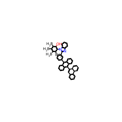 Bc1c(B)c(B)c(-n2c(-c3cccc(-c4c5ccccc5c(C5=Cc6ccccc6C6C=CC=CC56)c5ccccc45)c3)nc3ccccc32)c(O)c1B